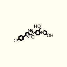 O=c1c2sc(-c3ccc(Cl)cc3)cc2nnn1-c1ccc(N2CC[C@H](O)C2)c(CO)c1